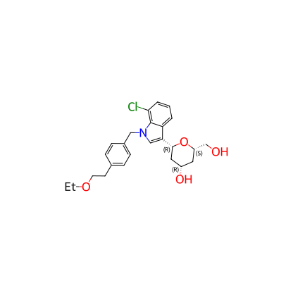 CCOCCc1ccc(Cn2cc([C@H]3C[C@@H](O)C[C@@H](CO)O3)c3cccc(Cl)c32)cc1